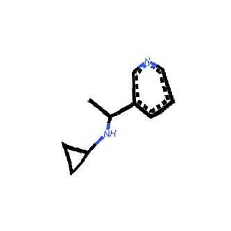 CC(NC1CC1)c1cccnc1